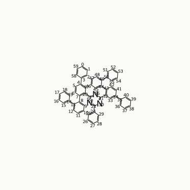 c1ccc(-c2ccc(-c3ccccc3-c3ccccc3)c(-c3nc(-c4ccccc4)nc(-c4cc(-c5ccccc5)ccc4-c4ccccc4-c4ccccc4)n3)c2)cc1